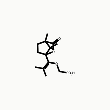 CC(C)=C(OCC(=O)O)C12CCC(C)(C(=O)O1)C2(C)C